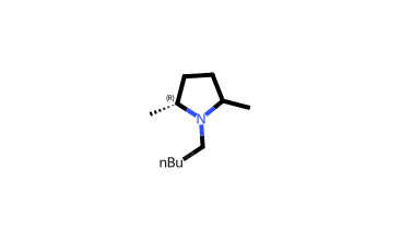 CCCCCN1C(C)CC[C@H]1C